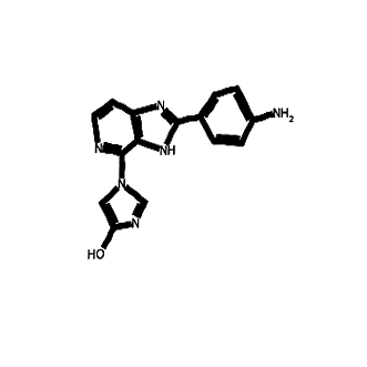 Nc1ccc(-c2nc3ccnc(-n4cnc(O)c4)c3[nH]2)cc1